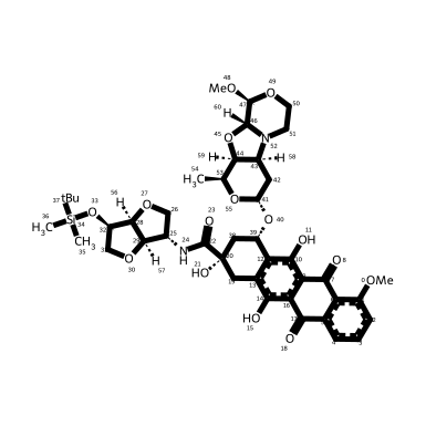 COc1cccc2c1C(=O)c1c(O)c3c(c(O)c1C2=O)C[C@@](O)(C(=O)N[C@H]1CO[C@H]2[C@@H]1OC[C@H]2O[Si](C)(C)C(C)(C)C)C[C@@H]3O[C@H]1C[C@H]2[C@H](O[C@@H]3[C@@H](OC)OCCN32)[C@H](C)O1